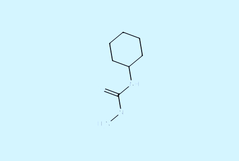 NNC(=[Se])NC1CCCCC1